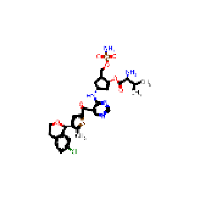 Cc1sc(C(=O)c2cncnc2N[C@@H]2CC(COS(N)(=O)=O)[C@@H](OC(=O)[C@@H](N)C(C)C)C2)cc1[C@@H]1OCCc2ccc(Cl)cc21